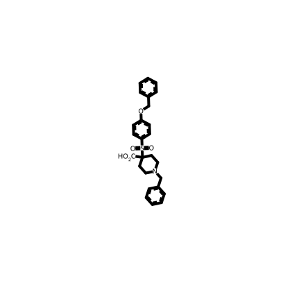 O=C(O)C1(S(=O)(=O)c2ccc(OCc3ccccc3)cc2)CCN(Cc2ccccc2)CC1